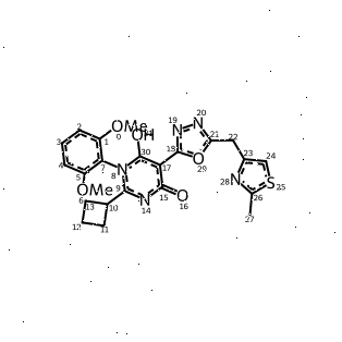 COc1cccc(OC)c1-n1c(C2CCC2)nc(=O)c(-c2nnc(Cc3csc(C)n3)o2)c1O